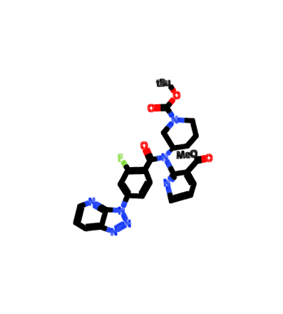 COC(=O)c1cccnc1N(C(=O)c1ccc(-n2nnc3cccnc32)cc1F)[C@@H]1CCCN(C(=O)OC(C)(C)C)C1